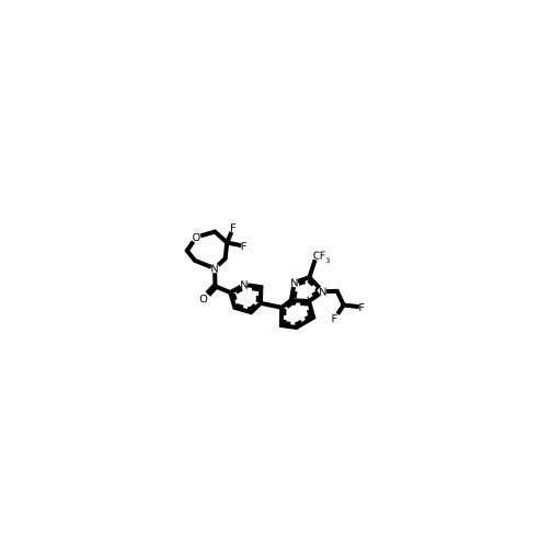 O=C(c1ccc(-c2cccc3c2nc(C(F)(F)F)n3CC(F)F)cn1)N1CCOCC(F)(F)C1